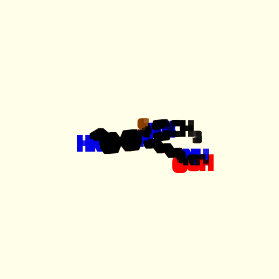 CN1CCN(C(=S)N(CCCCCCC(=O)NO)c2ccc(-c3ccc4[nH]ccc4c3)cc2)CC1